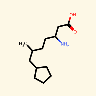 CC(CCC(N)CC(=O)O)CC1CCCC1